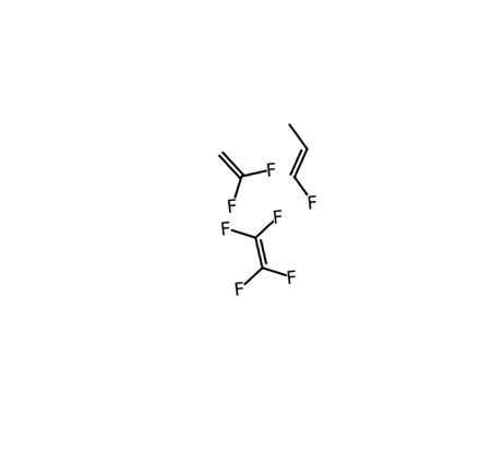 C=C(F)F.CC=CF.FC(F)=C(F)F